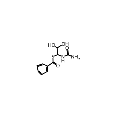 NC(=O)NC(SC(=O)c1ccccc1)C(O)O